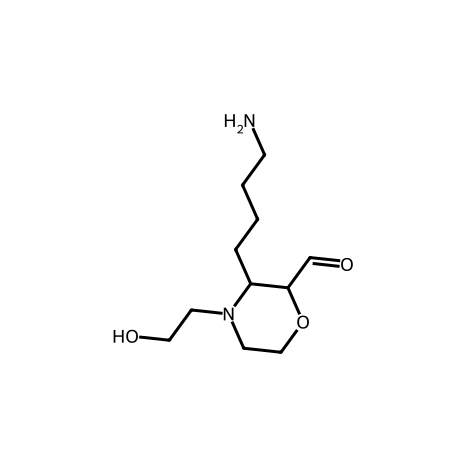 NCCCCC1C(C=O)OCCN1CCO